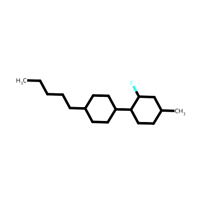 CCCCCC1CCC(C2CCC(C)CC2F)CC1